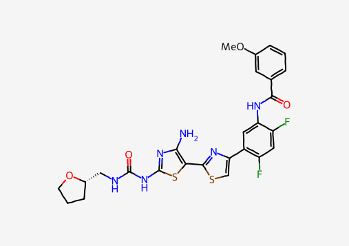 COc1cccc(C(=O)Nc2cc(-c3csc(-c4sc(NC(=O)NC[C@@H]5CCCO5)nc4N)n3)c(F)cc2F)c1